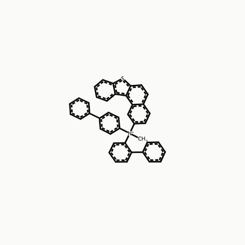 C[N+](c1ccc(-c2ccccc2)cc1)(c1ccc2ccc3sc4ccccc4c3c2c1)c1ccccc1-c1ccccc1